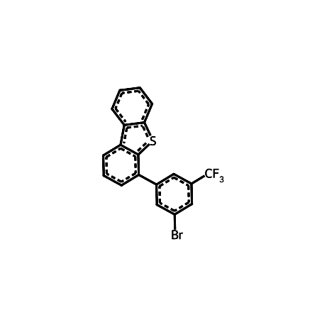 FC(F)(F)c1cc(Br)cc(-c2cccc3c2sc2ccccc23)c1